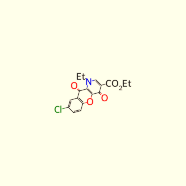 CCOC(=O)c1cn(CC)c2c(=O)c3cc(Cl)ccc3oc2c1=O